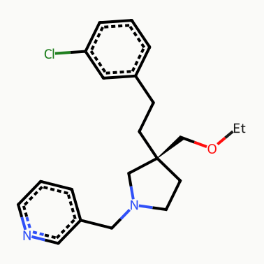 CCOC[C@@]1(CCc2cccc(Cl)c2)CCN(Cc2cccnc2)C1